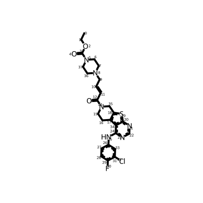 CCOC(=O)N1CCN(CC=CC(=O)N2CCc3c(sc4ncnc(Nc5ccc(F)c(Cl)c5)c34)C2)CC1